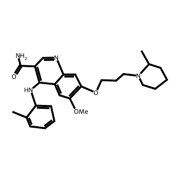 COc1cc2c(Nc3ccccc3C)c(C(N)=O)cnc2cc1OCCCN1CCCCC1C